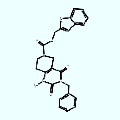 Cn1c2c(c(=O)n(Cc3ccccc3)c1=O)CN(C(=O)OCc1cc3ccccc3[nH]1)CC2